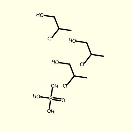 CC(Cl)CO.CC(Cl)CO.CC(Cl)CO.O=P(O)(O)O